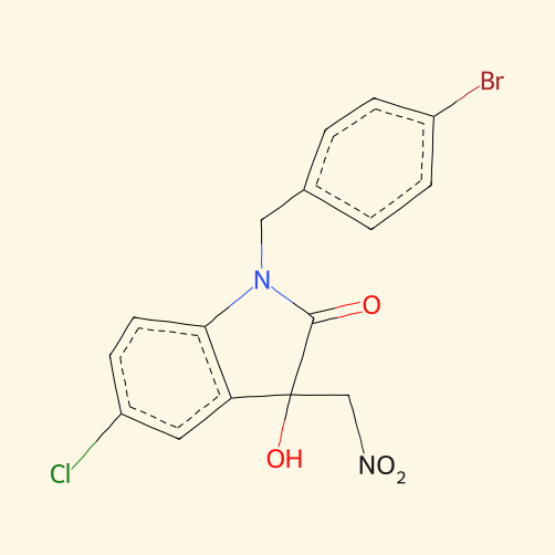 O=C1N(Cc2ccc(Br)cc2)c2ccc(Cl)cc2C1(O)C[N+](=O)[O-]